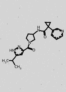 CC(C)c1cc(C(=O)N2CCC(NC(=O)C3(c4cccnc4)CC3)C2)n[nH]1